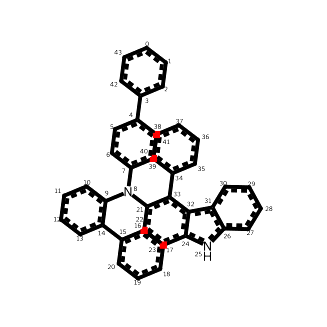 c1ccc(-c2ccc(N(c3ccccc3-c3ccccc3)c3ccc4[nH]c5ccccc5c4c3-c3ccccc3)cc2)cc1